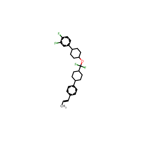 C/C=C/c1ccc(C2CCC(C(F)(F)OC3CCC(c4ccc(F)c(F)c4)CC3)CC2)cc1